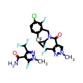 Cn1cc(C(=O)N(Cc2c(C(F)(F)F)ccc(Cl)c2F)C2CC2)c(C(F)F)n1.Cn1nc(C(F)F)c(C(N)=O)c1F